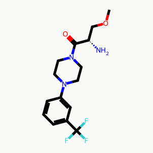 COC[C@H](N)C(=O)N1CCN(c2cccc(C(F)(F)F)c2)CC1